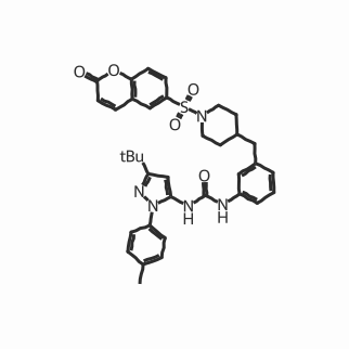 Cc1ccc(-n2nc(C(C)(C)C)cc2NC(=O)Nc2cccc(CC3CCN(S(=O)(=O)c4ccc5oc(=O)ccc5c4)CC3)c2)cc1